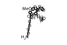 COc1cc2c(cc1-c1cccc(NC(=O)NCCOCCOCCOCCOCCN)c1)-c1c(c(C(=O)N3CCOCC3(C)C)nn1-c1cc(Cl)cc(Cl)c1)CO2.O=C(O)C(F)(F)F